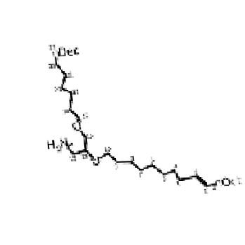 CCCCCCCCC=CCCCCCCCCOC(CN)COCCCCCCCCCCCCCCCC